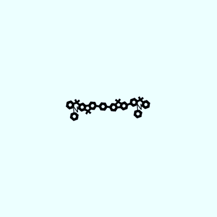 CC1(C)c2cc(-c3ccc(-c4ccc5c(c4)C(C)(C)c4cc6c(cc4-5)C(C)(C)c4ccccc4N6c4ccccc4)cc3)ccc2-c2ccc(-c3ccc4c(c3)N(c3ccccc3)c3ccccc3C4(C)C)cc21